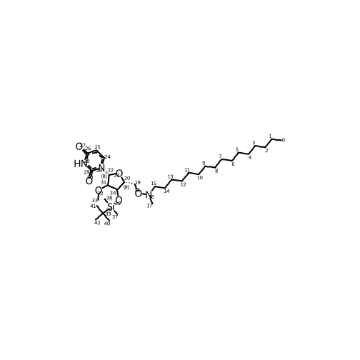 CCCCCCCCCCCCCCCCN(C)OC[C@H]1O[C@@H](n2ccc(=O)[nH]c2=O)C(OC)C1O[Si](C)(C)C(C)(C)C